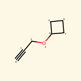 C#CCOC1CCC1